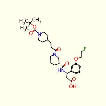 CC(C)(C)OC(=O)N1CCC(CCC(=O)N2CCC[C@@H](C(=O)NC(CC(=O)O)c3cccc(OCCF)c3)C2)CC1